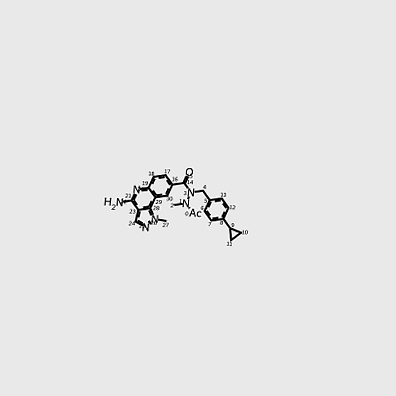 CC(=O)N(C)N(Cc1ccc(C2CC2)cc1)C(=O)c1ccc2nc(N)c3cnn(C)c3c2c1